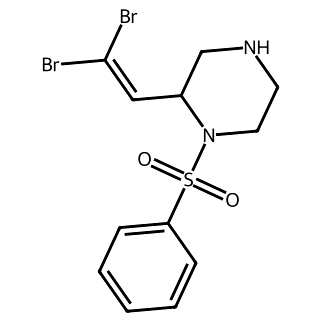 O=S(=O)(c1ccccc1)N1CCNCC1C=C(Br)Br